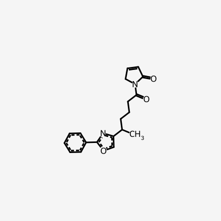 CC(CCCC(=O)N1CC=CC1=O)c1coc(-c2ccccc2)n1